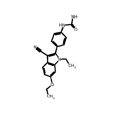 CCOc1ccc2c(C#N)c(-c3ccc(NC([NH])=O)cc3)n(CC)c2c1